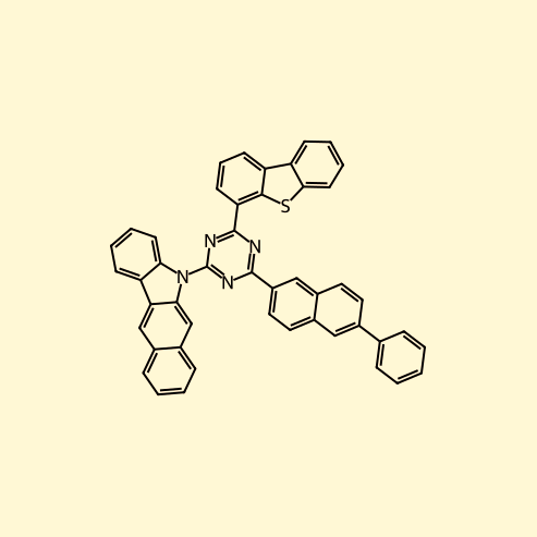 c1ccc(-c2ccc3cc(-c4nc(-c5cccc6c5sc5ccccc56)nc(-n5c6ccccc6c6cc7ccccc7cc65)n4)ccc3c2)cc1